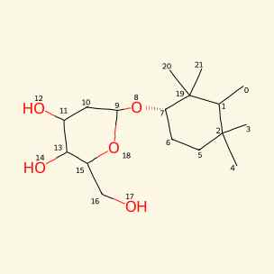 CC1C(C)(C)CC[C@H](OC2CC(O)C(O)C(CO)O2)C1(C)C